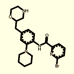 O=C(Nc1ccc(CC2CNCCO2)cc1N1CCCCC1)c1cccc(Br)n1